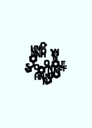 COC(=O)Nc1nc2ccc(C(=O)c3cccs3)cc2[nH]1.Cc1cn(-c2cc(NC(=O)c3ccc(C)c(Nc4nccc(-c5cccnc5)n4)c3)cc(C(F)(F)F)c2)cn1